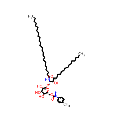 CCCCCCCCCCCCCCCCCCCCCCCCCCN[C@@H](CO[C@@H]1O[C@H](COC(=O)Nc2ccc(C)cc2)[C@H](O)[C@H](O)[C@H]1O)[C@H](O)[C@H](O)CCCCCCCCCCCCCC